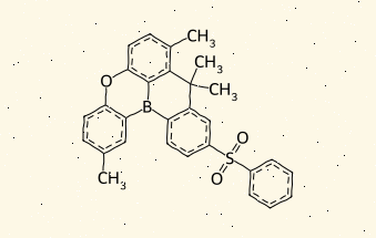 Cc1ccc2c(c1)B1c3ccc(S(=O)(=O)c4ccccc4)cc3C(C)(C)c3c(C)ccc(c31)O2